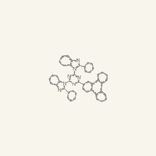 c1ccc(-c2nc3ccccc3n2-c2nc(-c3ccc4c5ccccc5c5ccccc5c4c3)nc(-n3c(-c4ccccc4)nc4ccccc43)n2)cc1